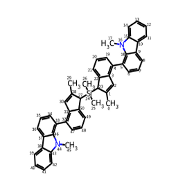 CC1=Cc2c(-c3cccc4c5ccccc5n(C)c34)cccc2C1[Si](C)(C)C1C(C)=Cc2c(-c3cccc4c5ccccc5n(C)c34)cccc21